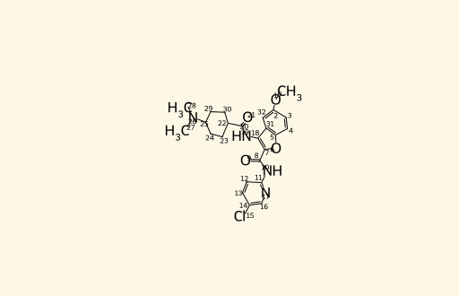 COc1ccc2oc(C(=O)Nc3ccc(Cl)cn3)c(NC(=O)C3CCC(N(C)C)CC3)c2c1